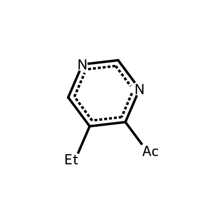 CCc1cncnc1C(C)=O